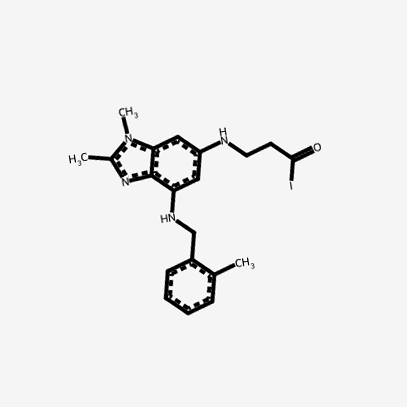 Cc1ccccc1CNc1cc(NCCC(=O)I)cc2c1nc(C)n2C